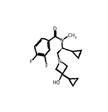 CN(C(=O)c1ccc(F)c(F)c1)[C@H](CN1CC(O)(C2CC2)C1)C1CC1